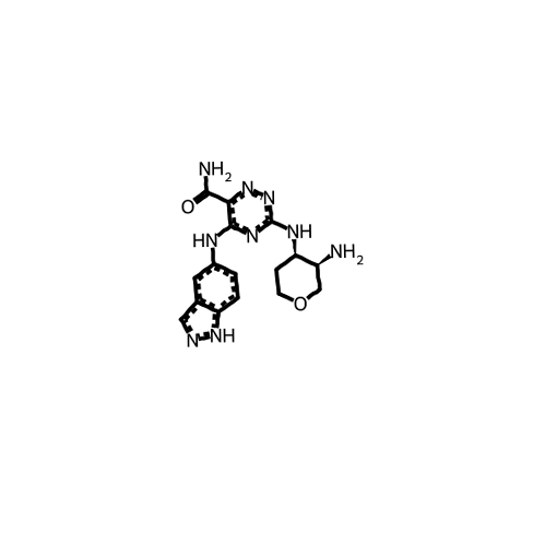 NC(=O)c1nnc(N[C@@H]2CCOC[C@@H]2N)nc1Nc1ccc2[nH]ncc2c1